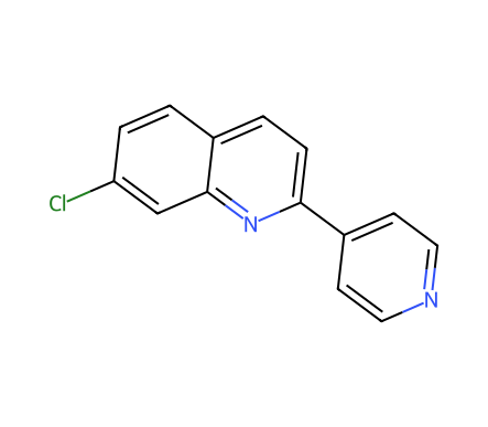 Clc1ccc2ccc(-c3ccncc3)nc2c1